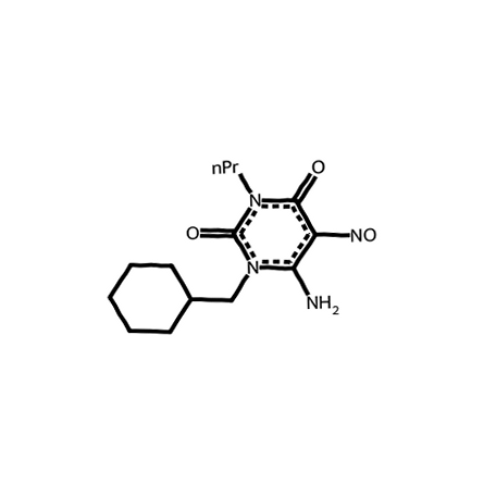 CCCn1c(=O)c(N=O)c(N)n(CC2CCCCC2)c1=O